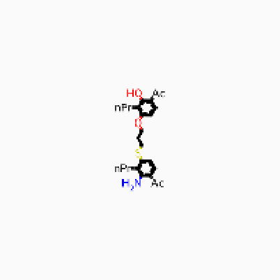 CCCc1c(SCCCOc2ccc(C(C)=O)c(O)c2CCC)ccc(C(C)=O)c1N